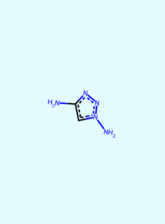 Nc1cn(N)nn1